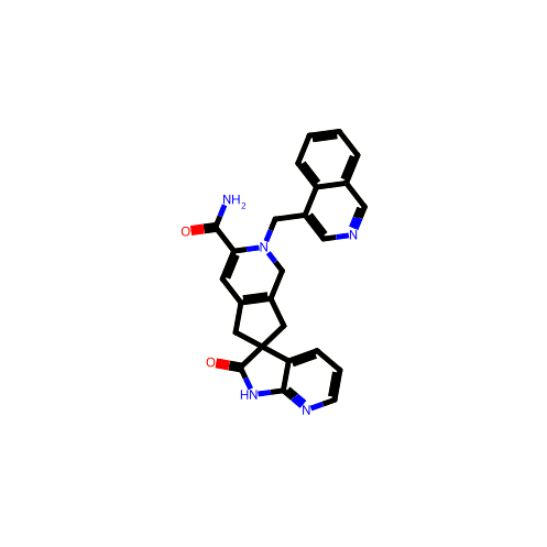 NC(=O)C1=CC2=C(CN1Cc1cncc3ccccc13)CC1(C2)C(=O)Nc2ncccc21